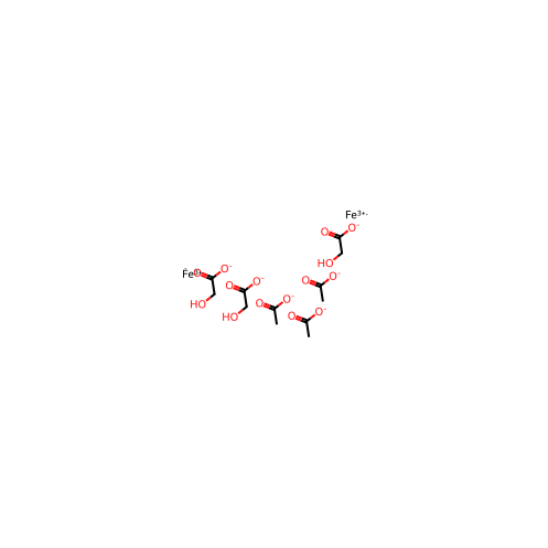 CC(=O)[O-].CC(=O)[O-].CC(=O)[O-].O=C([O-])CO.O=C([O-])CO.O=C([O-])CO.[Fe+3].[Fe+3]